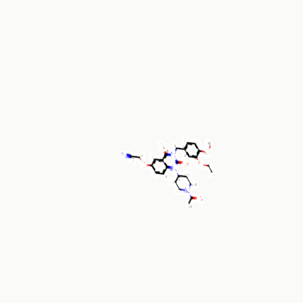 CCOc1cc(Cn2c(=O)c3cc(OCC#N)ccc3n(C3CCN(C(C)=O)CC3)c2=O)ccc1OC